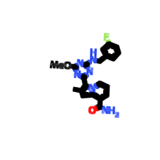 COc1nc(NCc2cccc(F)c2)nc(-c2c(C)cc3c(C(N)=O)cccn23)n1